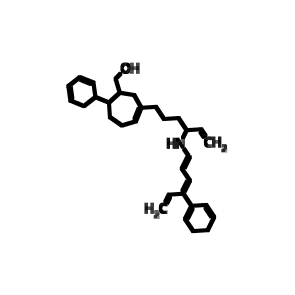 C=C/C(=C\C=C\NC(C=C)CCCC1=CCCC(C2C=CC=CC2)C(CO)C1)C1=CCCC=C1